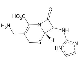 NCC1=C(C(=O)O)N2C(=O)C(Nc3ncc[nH]3)[C@@H]2SC1